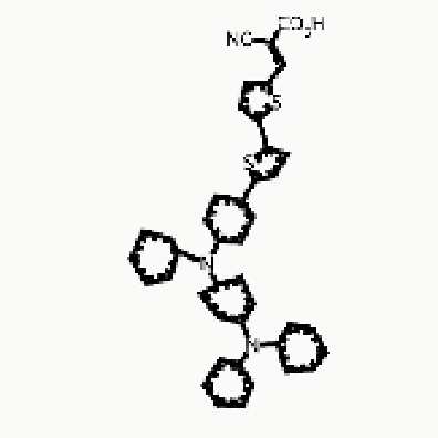 N#C/C(=C\c1ccc(-c2ccc(-c3ccc(N(c4ccccc4)c4ccc(N(c5ccccc5)c5ccccc5)cc4)cc3)s2)s1)C(=O)O